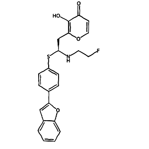 O=c1ccoc(C[C@@H](NCCF)Sc2ccc(-c3cc4ccccc4o3)cc2)c1O